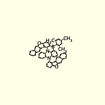 Cc1cc(C)c(B2c3cccc4c3N(c3ccccc3N4c3cccc4oc5cc6ccccc6cc5c34)c3c2ccc2oc4cc5ccccc5cc4c32)c(C)c1